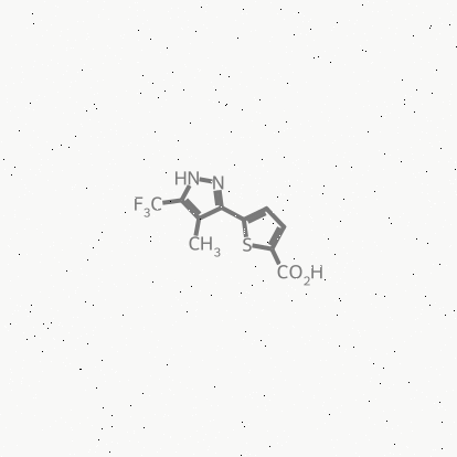 Cc1c(-c2ccc(C(=O)O)s2)n[nH]c1C(F)(F)F